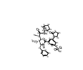 C[C@H](C[C@@H](O)[C@H](Cc1ccccc1)NC(=O)c1cc(N2CCCC2=O)cc(S(C)(=O)=O)c1)C(=O)NC1CC2CCC1C2